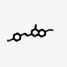 COc1ccc2oc(/C=C/c3ccc(C#N)cc3)cc(=O)c2c1